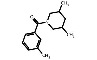 Cc1cccc(C(=O)N2CC(C)CC(C)C2)c1